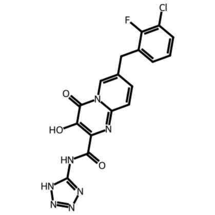 O=C(Nc1nnn[nH]1)c1nc2ccc(Cc3cccc(Cl)c3F)cn2c(=O)c1O